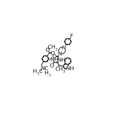 COC(=O)c1ccc(CN(C)C)cc1NC(=O)[C@H](NC(=O)N1CCN(c2ccc(F)cc2)CC1)[C@@H](C)c1c[nH]c2ccccc12